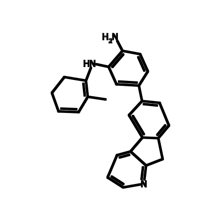 CC1=C(Nc2cc(-c3ccc4c(c3)-c3cccnc3C4)ccc2N)CCC=C1